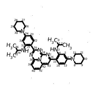 CC(C)Nc1cc(N2CCCCC2)ccc1C1=NC2=NC(c3ccc(N4CCCCC4)cc3NC(C)C)=NC3=CC=CC(=C1)N32